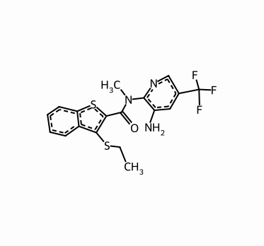 CCSc1c(C(=O)N(C)c2ncc(C(F)(F)F)cc2N)sc2ccccc12